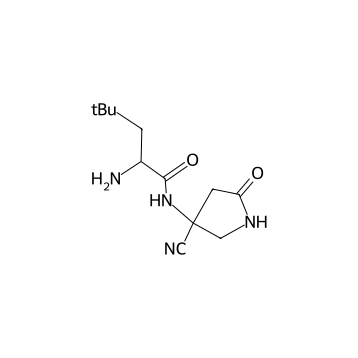 CC(C)(C)CC(N)C(=O)NC1(C#N)CNC(=O)C1